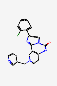 O=c1[nH]c2c(c3nc(-c4ccccc4F)cn13)CN(Cc1cccnc1)CC2